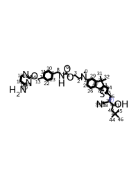 CN(CCOC(=O)NCc1ccc(COc2nccc(N)n2)cc1)c1ccc2c(c1)C(C)(C)c1cc(/C=C(\C#N)C(O)CC(C)(C)C)sc1-2